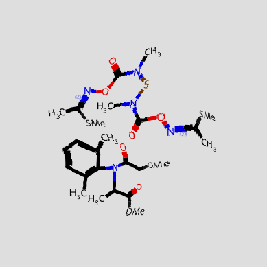 COCC(=O)N(c1c(C)cccc1C)C(C)C(=O)OC.CS/C(C)=N\OC(=O)N(C)SN(C)C(=O)O/N=C(/C)SC